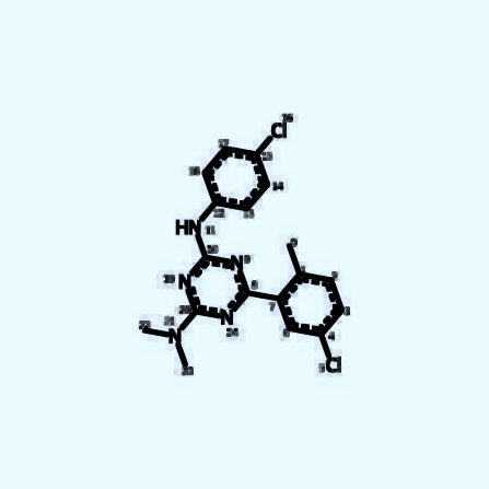 Cc1ccc(Cl)cc1-c1nc(Nc2ccc(Cl)cc2)nc(N(C)C)n1